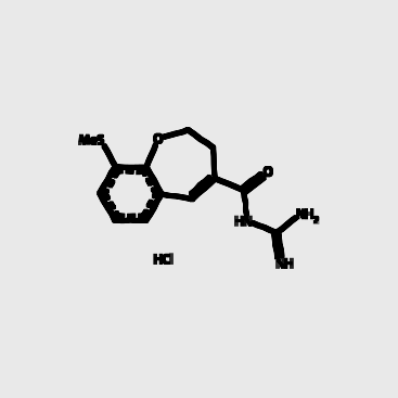 CSc1cccc2c1OCCC(C(=O)NC(=N)N)=C2.Cl